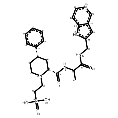 CC(NC(=O)[C@H]1C[C@@H](c2ccccc2)CCN1CCP(=O)(O)O)C(=O)NCc1cc2cnccc2[nH]1